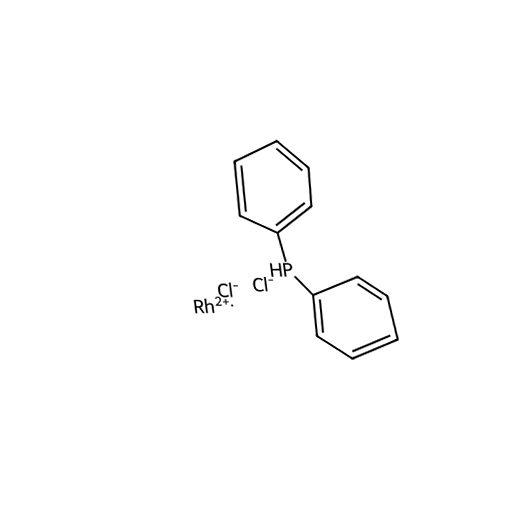 [Cl-].[Cl-].[Rh+2].c1ccc(Pc2ccccc2)cc1